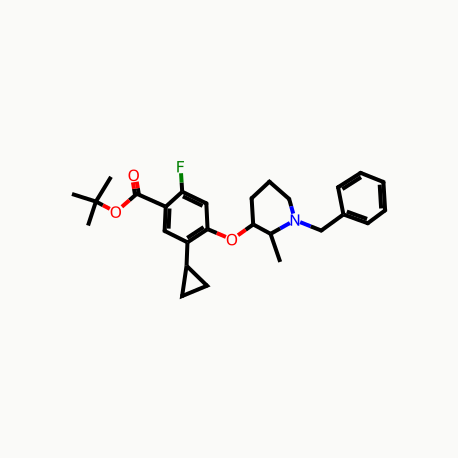 CC1C(Oc2cc(F)c(C(=O)OC(C)(C)C)cc2C2CC2)CCCN1Cc1ccccc1